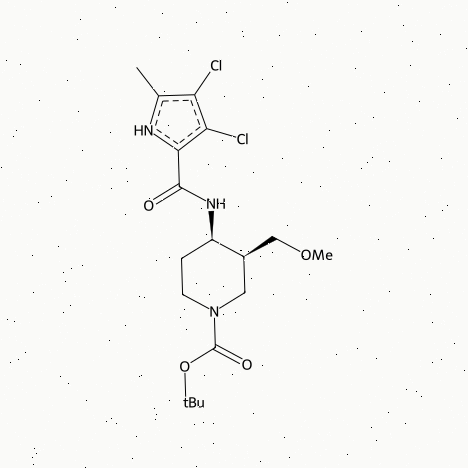 COC[C@H]1CN(C(=O)OC(C)(C)C)CC[C@H]1NC(=O)c1[nH]c(C)c(Cl)c1Cl